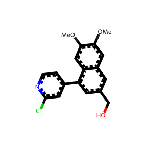 COc1cc2cc(CO)cc(-c3ccnc(Cl)c3)c2cc1OC